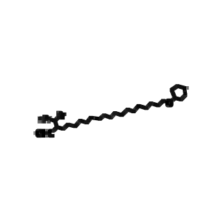 CCCC(Br)C([C]=O)CCCCCCCCCCCCCCCCCCOC1CC[CH]CC1